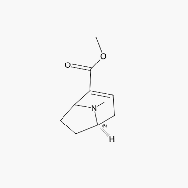 COC(=O)C1=CC[C@H]2CCC1N2C